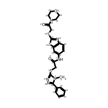 Cn1c(SCC(=O)Nc2ccc3nc(SCC(=O)N4CCOCC4)sc3c2)nnc1-c1ccccc1